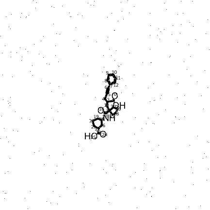 O=C(O)C(CC#Cc1ccccc1)CC1(C(=O)N[C@@H]2CCC[C@H](C(=O)O)C2)CCCC1